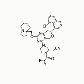 C=C(F)C(=O)N1CCN(c2nc(OCC34CCCCN3CCC4)nc3c2COC(c2cccc4cccc(Cl)c24)C3)C[C@@H]1CC#N